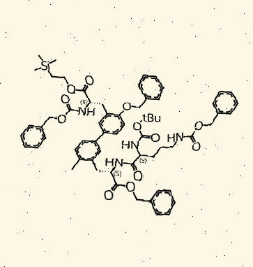 Cc1ccc(-c2ccc(OCc3ccccc3)c(C[C@H](NC(=O)OCc3ccccc3)C(=O)OCC[Si](C)(C)C)c2)cc1C[C@H](NC(=O)[C@H](CCCNC(=O)OCc1ccccc1)NC(=O)OC(C)(C)C)C(=O)OCc1ccccc1